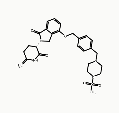 C=C1CC[C@H](N2Cc3c(OCc4ccc(CN5CCN(S(C)(=O)=O)CC5)cc4)cccc3C2=O)C(=O)N1